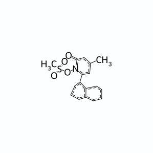 Cc1cc(-c2cccc3ccccc23)n(OS(C)(=O)=O)c(=O)c1